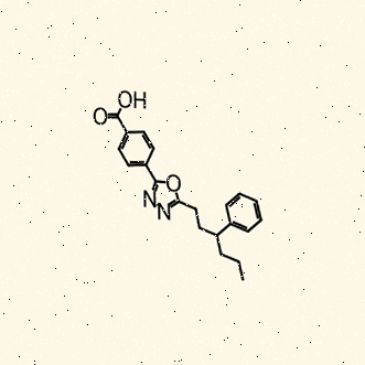 CCCC(CCc1nnc(-c2ccc(C(=O)O)cc2)o1)c1ccccc1